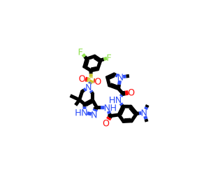 CN(C)c1ccc(C(=O)Nc2n[nH]c3c2CN(S(=O)(=O)c2cc(F)cc(F)c2)CC3(C)C)c(NC(=O)c2cccn2C)c1